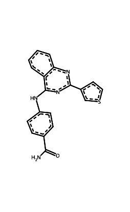 NC(=O)c1ccc(Nc2nc(-c3ccsc3)nc3ccccc23)cc1